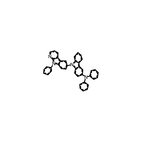 c1ccc(N(c2ccccc2)c2ccc3c(c2)c2ccccc2n3-c2ccc3c(c2)c2cccnc2n3-c2ccccc2)cc1